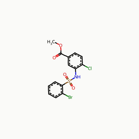 COC(=O)c1ccc(Cl)c(NS(=O)(=O)c2ccccc2Br)c1